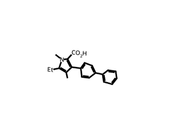 CCc1c(C)c(-c2ccc(-c3ccccc3)cc2)c(C(=O)O)n1C